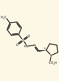 Cc1ccc(S(=O)(=O)NN=C[C@H]2CCCN2C(=O)O)cc1